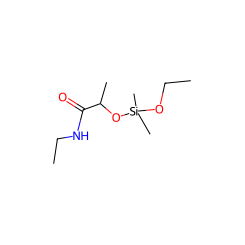 CCNC(=O)C(C)O[Si](C)(C)OCC